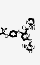 CC(Oc1ccc(Sc2ccc(Sc3nnc[nH]3)nc2C(=O)Nc2nccs2)cc1)N(C)C